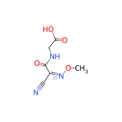 CO/N=C(/C#N)C(=O)NCC(=O)O